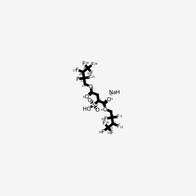 O=C(CC(C(=O)OCC(F)(F)C(F)C(F)(F)F)S(=O)(=O)O)OCC(F)(F)C(F)C(F)(F)F.[NaH]